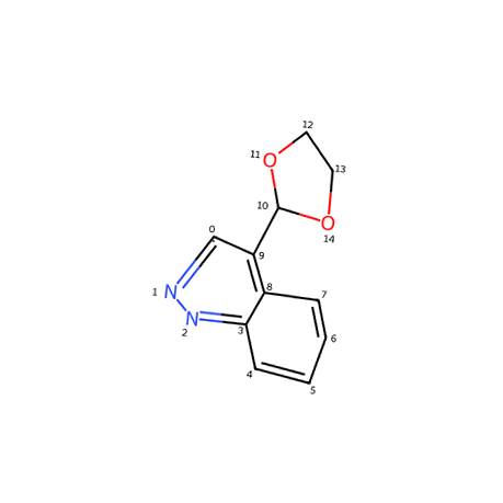 [c]1nnc2ccccc2c1C1OCCO1